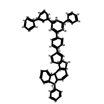 C1=CC2C(c3ccccc3N2c2ccccc2)c2c1oc1cc(-c3ccc(-c4nc(-c5ccccc5)nc(-c5cccc(-c6ccccc6)c5)n4)cc3)ccc21